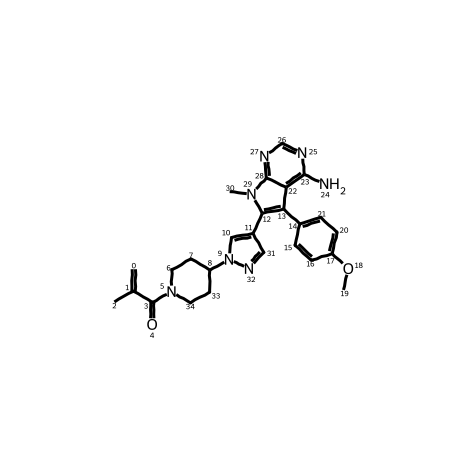 C=C(C)C(=O)N1CCC(n2cc(-c3c(-c4ccc(OC)cc4)c4c(N)ncnc4n3C)cn2)CC1